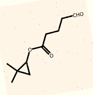 CC1(C)CC1OC(=O)CCCC=O